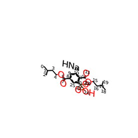 CC(C)CCOC(=O)c1ccc(C(=O)OCCC(C)C)c(S(=O)(=O)O)c1.[NaH]